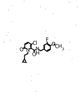 COc1ccc(CNC(=O)c2c(Cl)ccc(=O)n2CCC2CC2)cc1F